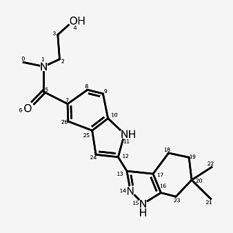 CN(CCO)C(=O)c1ccc2[nH]c(-c3n[nH]c4c3CCC(C)(C)C4)cc2c1